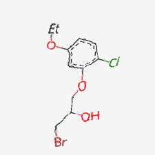 CCOc1ccc(Cl)c(OCC(O)CBr)c1